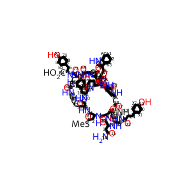 CSCCC1NC(=O)C(NC(=O)C(CC(N)=O)NC(=O)CNC(=O)C(Cc2ccc(O)cc2)NC(C)=O)C(C)OC(=O)CC2NC(=O)C3COC(=O)CCC(NC(=O)C(Cc4c[nH]c5ccccc45)NC2=O)C(=O)NC(C(=O)NC(Cc2ccc(O)cc2)C(=O)O)CCC(=O)NCCCCC(NC1=O)C(=O)NC(Cc1ccc(O)cc1)C(=O)N1CCCC1C(=O)N3